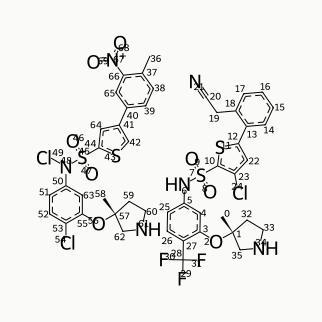 C[C@@]1(Oc2cc(NS(=O)(=O)c3sc(-c4ccccc4CC#N)cc3Cl)ccc2C(F)(F)F)CCNC1.Cc1ccc(-c2csc(S(=O)(=O)N(Cl)c3ccc(Cl)c(O[C@]4(C)CCNC4)c3)c2)cc1[N+](=O)[O-]